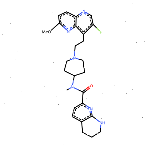 COc1ccc2ncc(F)c(CCN3CCC(N(C)C(=O)c4ccc5c(n4)NCCC5)CC3)c2n1